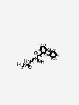 NC(=O)NCCN(O)C(=O)Cc1cccc(Oc2ccccc2)c1